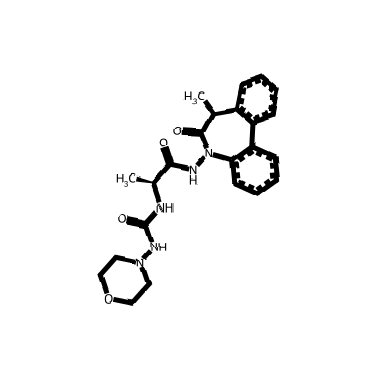 CC1C(=O)N(NC(=O)[C@H](C)NC(=O)NN2CCOCC2)c2ccccc2-c2ccccc21